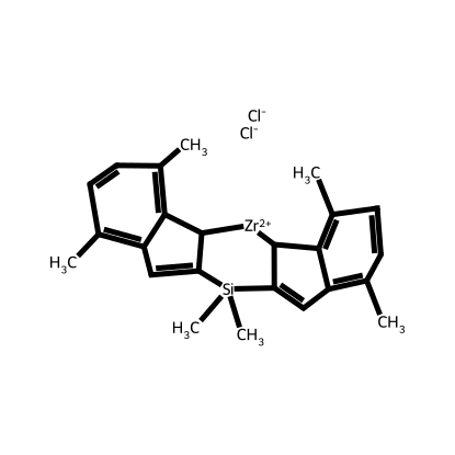 Cc1ccc(C)c2c1C=C1[CH]2[Zr+2][CH]2C(=Cc3c(C)ccc(C)c32)[Si]1(C)C.[Cl-].[Cl-]